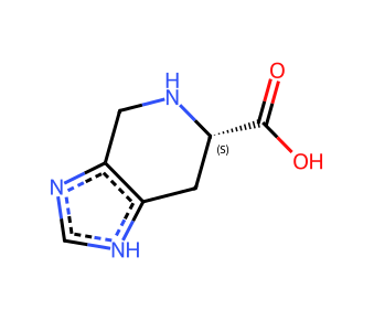 O=C(O)[C@@H]1Cc2[nH]cnc2CN1